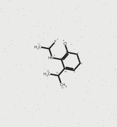 CC(F)NC1=C(Cl)CCC=C1C(C)C